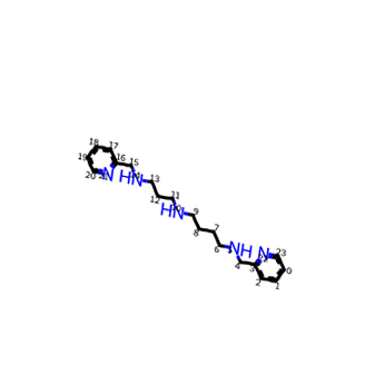 c1ccc(CNCCCCNCCCNCc2ccccn2)nc1